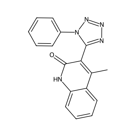 Cc1c(-c2nnnn2-c2ccccc2)c(=O)[nH]c2ccccc12